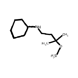 CC(C)(CCNC1CCCCC1)O[SiH3]